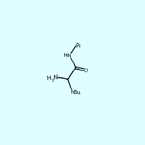 CCCCC(N)C(=O)NC(C)C